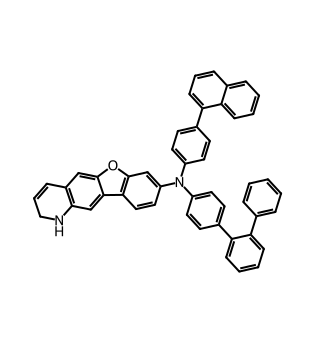 C1=Cc2cc3oc4cc(N(c5ccc(-c6ccccc6-c6ccccc6)cc5)c5ccc(-c6cccc7ccccc67)cc5)ccc4c3cc2NC1